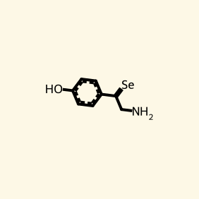 NCC(=[Se])c1ccc(O)cc1